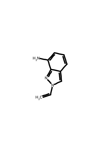 C=Cn1cc2cccc(N)c2n1